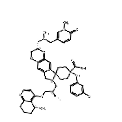 C[C@@H](COc1ccnc2c1[C@H](C)CCC2)C[C@H]1Cc2cc3c(cc2C12CCC(Nc1cccc(Cl)c1)(C(=O)O)CC2)O[C@@H](CN(C)Cc1ccc(=O)n(C)c1)CO3